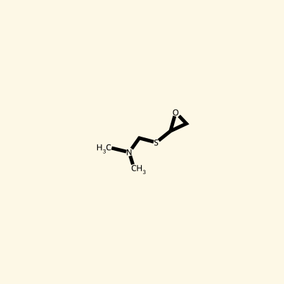 CN(C)CSC1CO1